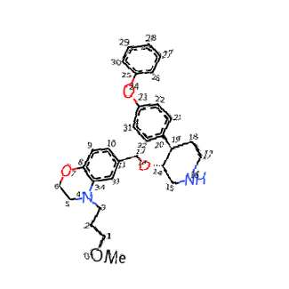 COCCCN1CCOc2ccc(CO[C@H]3CNCC[C@@H]3c3ccc(Oc4ccccc4)cc3)cc21